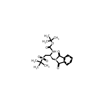 CC(C)(C)OC(=O)N[C@@H](CN1C(=O)c2ccccc2C1=O)CS(=O)(=O)C(C)(C)C